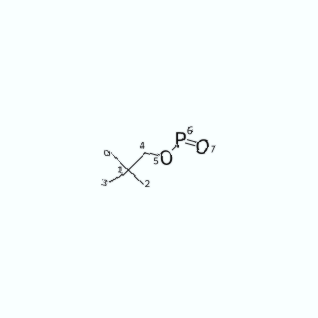 CC(C)(C)COP=O